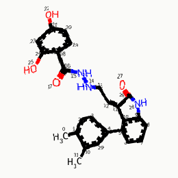 Cc1ccc(-c2cccc3c2C(=CCNNC(=O)c2ccc(O)cc2O)C(=O)N3)cc1C